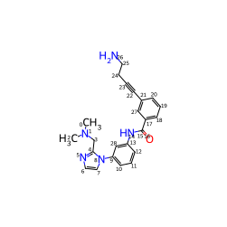 CN(C)Cc1nccn1-c1cccc(NC(=O)c2cccc(C#CCCN)c2)c1